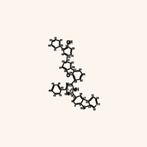 N/C(=N\C(NCc1ccc2sc3ccccc3c2c1)c1cccc2c1oc1ccc(-c3ccc(O)c(-c4ccccc4)c3)cc12)c1ccccc1